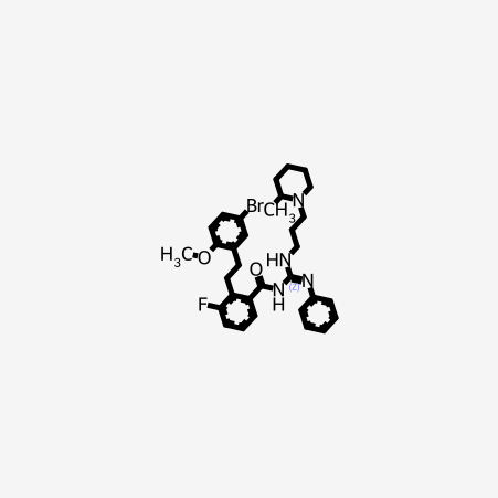 COc1ccc(Br)cc1CCc1c(F)cccc1C(=O)N/C(=N\c1ccccc1)NCCCN1CCCCC1C